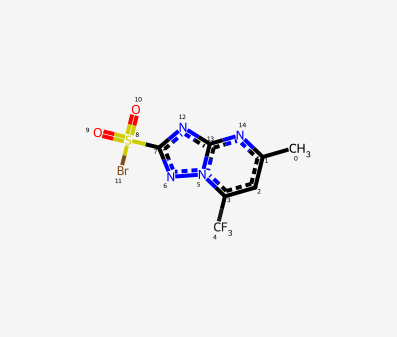 Cc1cc(C(F)(F)F)n2nc(S(=O)(=O)Br)nc2n1